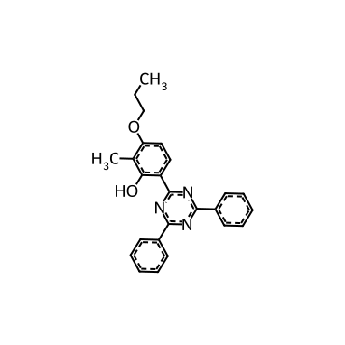 CCCOc1ccc(-c2nc(-c3ccccc3)nc(-c3ccccc3)n2)c(O)c1C